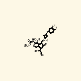 CC(C)(C)OC(=O)N(C(=O)O)c1cc2c(CNC3CC(Oc4ccc(F)c(C(F)(F)F)c4)C3)c(F)cc(C(O)CO)c2cn1